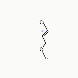 [CH2]OC/C=C/Cl